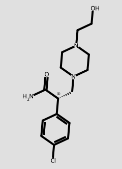 NC(=O)[C@H](CN1CCN(CCO)CC1)c1ccc(Cl)cc1